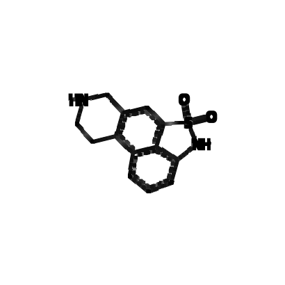 O=S1(=O)Nc2cccc3c4c(cc1c23)CNCC4